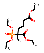 CCOC(=O)CCCC(C)(C(=O)OCC)P(=O)(OCC)OCC